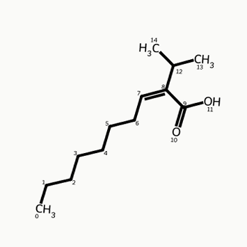 CCCCCCC/C=C(\C(=O)O)C(C)C